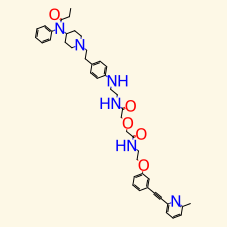 CCC(=O)N(c1ccccc1)C1CCN(CCc2ccc(NCCNC(=O)COCC(=O)NCCOc3cccc(C#Cc4cccc(C)n4)c3)cc2)CC1